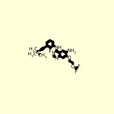 CS(C)(C)C#Cc1cccc(Nc2ncnc3cc(OCCOC(F)F)c(N)cc23)c1F